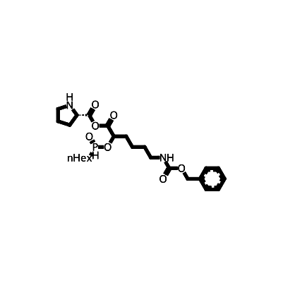 CCCCCC[PH](=O)OC(CCCCNC(=O)OCc1ccccc1)C(=O)OC(=O)[C@@H]1CCCN1